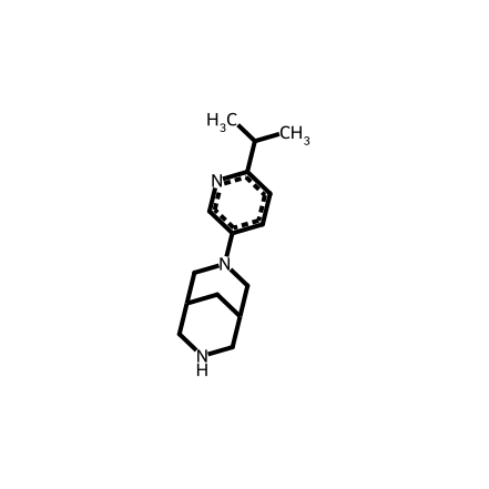 CC(C)c1ccc(N2CC3CNCC(C3)C2)cn1